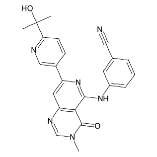 Cn1cnc2cc(-c3ccc(C(C)(C)O)nc3)nc(Nc3cccc(C#N)c3)c2c1=O